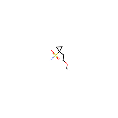 COCCC1(S(N)(=O)=O)CC1